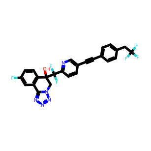 OC1(C(F)(F)c2ccc(C#Cc3ccc(CC(F)(F)F)cc3)cn2)Cn2nnnc2-c2cc(F)ccc21